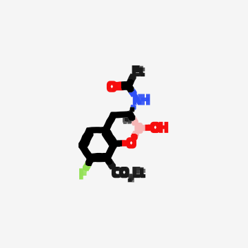 CCOC(=O)c1c(F)ccc2c1OB(O)[C@@H](NC(=O)CC)C2